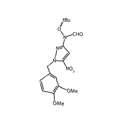 COc1ccc(Cn2nc(N(C=O)OC(C)(C)C)cc2[N+](=O)[O-])cc1OC